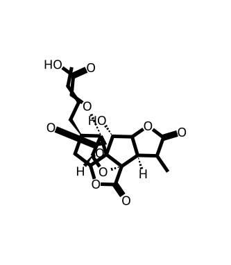 CCCC[C@@H]1CC2OC(=O)[C@@]34O[C@H]5OC(=O)[C@@H](OCC(=O)O)C15C23[C@H](O)C1OC(=O)C(C)[C@H]14